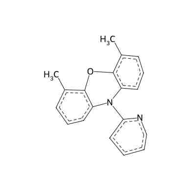 Cc1cccc2c1Oc1c(C)cccc1N2c1ccccn1